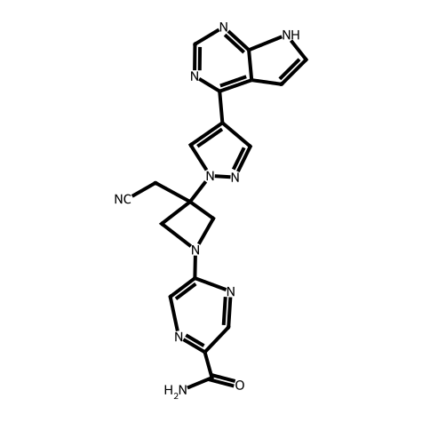 N#CCC1(n2cc(-c3ncnc4[nH]ccc34)cn2)CN(c2cnc(C(N)=O)cn2)C1